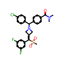 CN(C)C(=O)c1ccc(C(c2ccc(Cl)cc2)N2CC(=C(c3cc(F)cc(F)c3)S(C)(=O)=O)C2)cc1